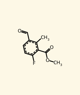 COC(=O)c1c(F)ccc(C=O)c1C